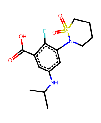 CC(C)Nc1cc(C(=O)O)c(F)c(N2CCCCS2(=O)=O)c1